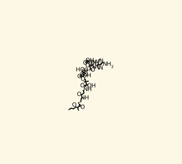 CCCC(=O)C(C)C(=O)SCCNC(=O)CCNC(=O)[C@H](O)C(C)(C)COP(=O)(O)OP(=O)(O)OC[C@H]1O[C@@H](n2cnc3c(N)ncnc32)[C@H](O)[C@@H]1OP(=O)(O)O